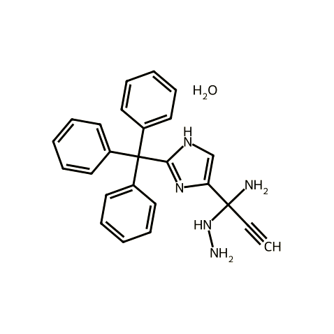 C#CC(N)(NN)c1c[nH]c(C(c2ccccc2)(c2ccccc2)c2ccccc2)n1.O